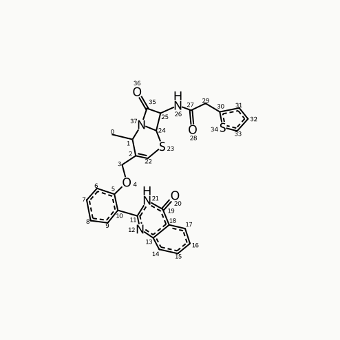 CC1C(COc2ccccc2-c2nc3ccccc3c(=O)[nH]2)=CSC2C(NC(=O)Cc3cccs3)C(=O)N12